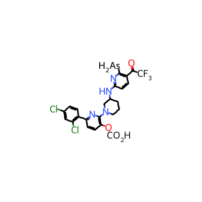 O=C(O)Oc1ccc(-c2ccc(Cl)cc2Cl)nc1N1CCCC(Nc2ccc(C(=O)C(F)(F)F)c([AsH2])n2)C1